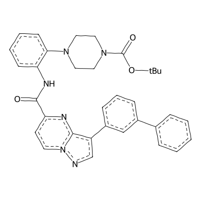 CC(C)(C)OC(=O)N1CCN(c2ccccc2NC(=O)c2ccn3ncc(-c4cccc(-c5ccccc5)c4)c3n2)CC1